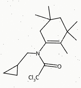 CC1=C(N(CC2CC2)C(=O)C(Cl)(Cl)Cl)CC(C)(C)CC1(C)C